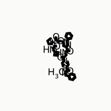 CN(Cc1ccccc1)C(=O)N1CCN(C(=O)CNC(=O)c2cc(OCC(=O)N3CCC[C@H]3C(=O)NC3CCC3)n(-c3ccccc3)n2)CC1